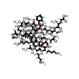 CC(C)C[C@H](NC(=O)[C@H](CO)NC(=O)CNC(=O)[C@H](CO)NC(=O)[C@H](Cc1c[nH]cn1)NC(=O)[C@H](C)NC(=O)[C@H](CO)NC(=O)[C@H](Cc1ccccc1)NC(=O)[C@@H](NC(=O)[C@H](C)NC(=O)[C@H](CS)NC(=O)[C@@H](N)CCC(=O)O)[C@@H](C)O)C(=O)N[C@@H](CCCCN)C(=O)N[C@@H](CCCCN)C(=O)N[C@@H](CCC(N)=O)C(=O)N[C@@H](CO)C(=O)N1CCC[C@H]1C(=O)N[C@@H](CCCCN)C(=O)N[C@H](C(=O)N[C@H](C(=O)O)[C@@H](C)O)C(C)C